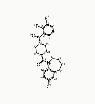 O=C(c1cccc(F)c1F)N1CCC(C(=O)N2CCCCc3cc(Cl)ccc32)CC1